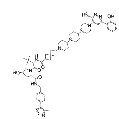 CNc1nnc(-c2ccccc2O)cc1N1CCN(C2CCN(C3CCN(C4CC5(CC(C(=O)N[C@H](C(=O)N6C[C@H](O)C[C@H]6C(=O)NCc6ccc(-c7scnc7C)cc6)C(C)(C)C)C5)C4)CC3)CC2)CC1